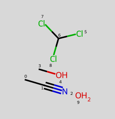 CC#N.CO.ClC(Cl)Cl.O